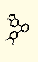 Fc1ccc(-c2ncccc2-c2ccc3nccn3c2)cc1Cl